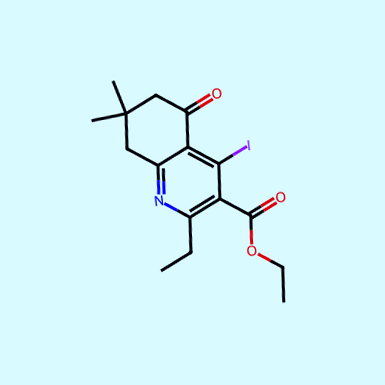 CCOC(=O)c1c(CC)nc2c(c1I)C(=O)CC(C)(C)C2